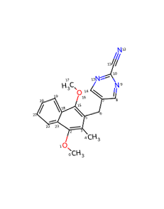 COc1c(C)c(Cc2cnc(C#N)nc2)c(OC)c2ccccc12